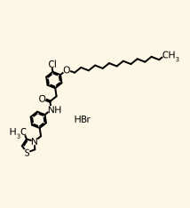 Br.CCCCCCCCCCCCCCOc1cc(CC(=O)Nc2cccc(CN3CSC=C3C)c2)ccc1Cl